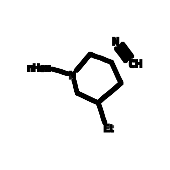 C#N.CCCCCCN1CCCC(CC)C1